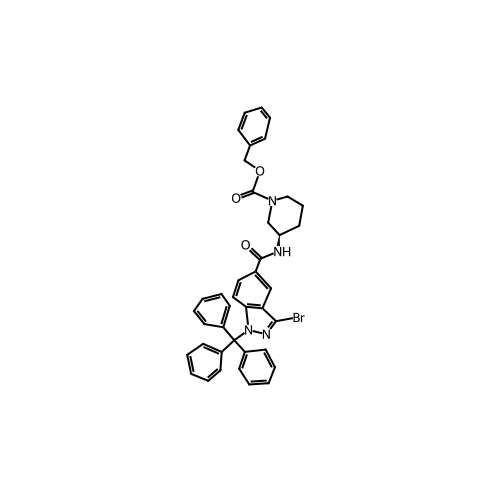 O=C(N[C@@H]1CCCN(C(=O)OCc2ccccc2)C1)c1ccc2c(c1)c(Br)nn2C(c1ccccc1)(c1ccccc1)c1ccccc1